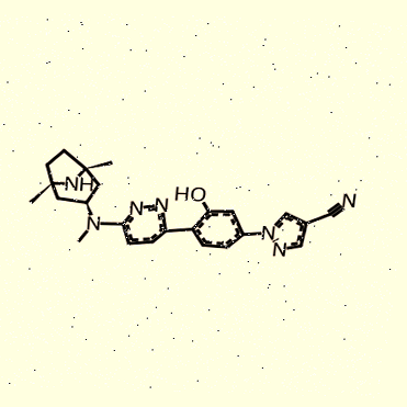 CN(c1ccc(-c2ccc(-n3cc(C#N)cn3)cc2O)nn1)[C@H]1C[C@]2(C)CC[C@](C)(C1)N2